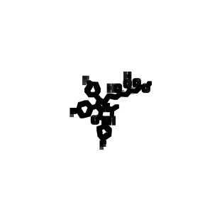 COC(=O)C[C@H](O)C[C@H](O)C=Cc1c(-c2ccc(F)cc2)c(-c2ccc(F)cc2)c(C(=O)Nc2ccc(F)cc2)n1C(C)C